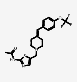 CC(=O)Nc1ncc(CN2CCC(=Cc3ccc(OC(F)(F)F)cc3)CC2)s1